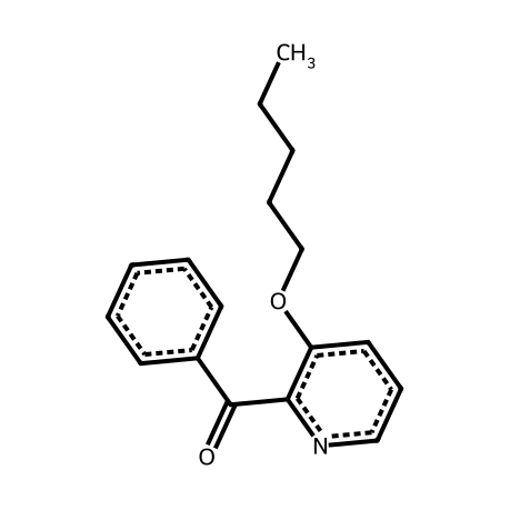 CCCCCOc1cccnc1C(=O)c1ccccc1